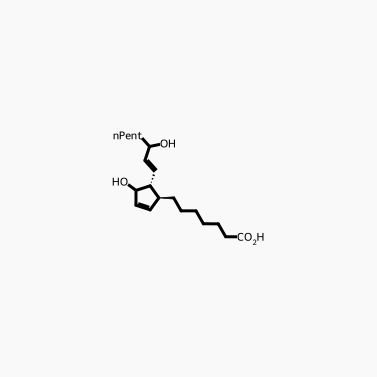 CCCCCC(O)C=C[C@H]1C(O)C=C[C@@H]1CCCCCCC(=O)O